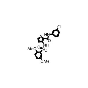 COc1ccc(OC)c(S(=O)(=O)Nc2ccsc2C(=O)Nc2cccc(Cl)c2)c1